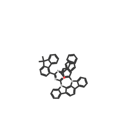 CC1(C)c2ccccc2-c2c(-c3nc(-c4ccccc4)nc(-n4c5ccccc5c5ccc6c7ccccc7n(-c7cccc(-c8ccccc8)c7)c6c54)n3)cccc21